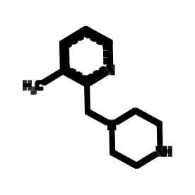 Cc1cccnc1CN1CCNCC1